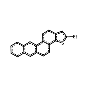 CCc1cc2ccc3c4cc5ccccc5cc4ccc3c2s1